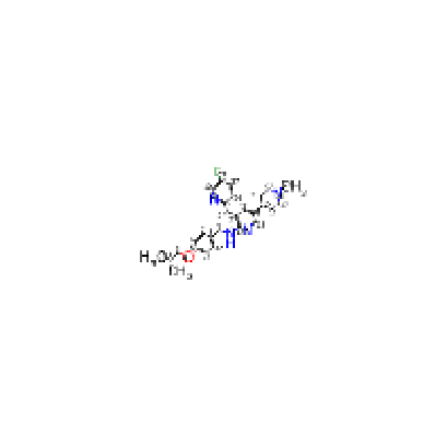 CC(C)COc1ccc(CNc2ncc(C3CCN(C)CC3)cc2Cc2ccc(F)cn2)cc1